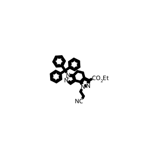 CCOC(=O)c1nn(CCC#N)c2c1CCc1c-2cnn1C(c1ccccc1)(c1ccccc1)c1ccccc1